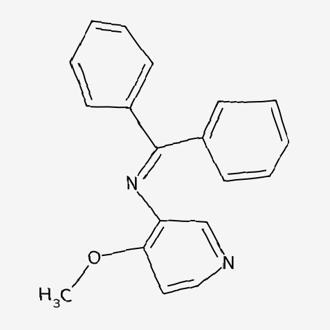 COc1ccncc1N=C(c1ccccc1)c1ccccc1